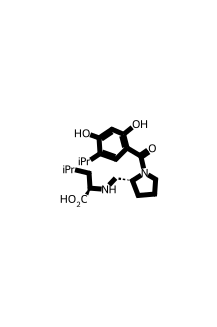 CC(C)C[C@@H](NC[C@H]1CCCN1C(=O)c1cc(C(C)C)c(O)cc1O)C(=O)O